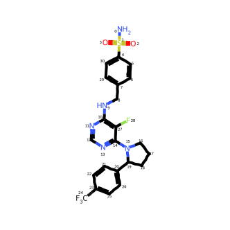 NS(=O)(=O)c1ccc(CNc2ncnc(N3CCCC3c3ccc(C(F)(F)F)cc3)c2F)cc1